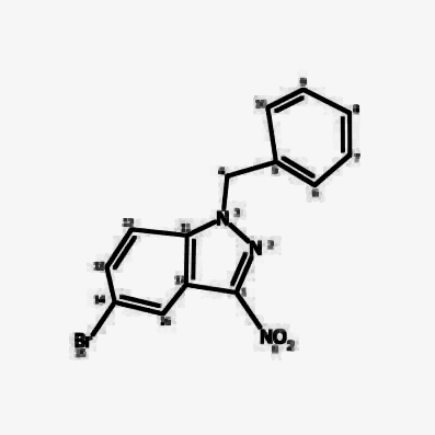 O=[N+]([O-])c1nn(Cc2ccccc2)c2ccc(Br)cc12